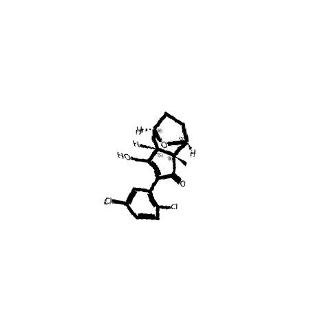 C[C@@]12C(=O)C(c3cc(Cl)ccc3Cl)=C(O)[C@@H]1[C@H]1CC[C@@H]2O1